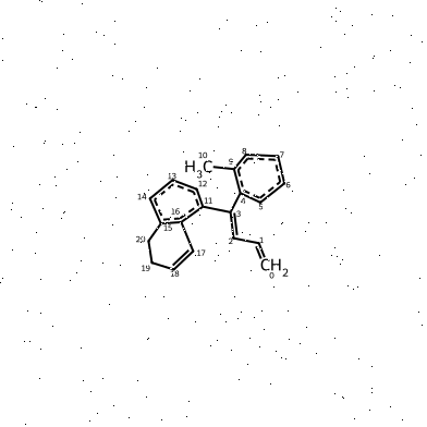 C=C/C=C(\c1ccccc1C)c1cccc2c1C=CCC2